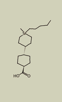 CCCCC[Si]1(C)CCC([C@H]2CC[C@H](C(=O)O)CC2)CC1